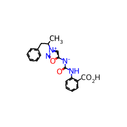 CC(Cc1ccccc1)[n+]1cc([N-]C(=O)Nc2ccccc2C(=O)O)on1